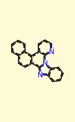 c1ccc2c(c1)ccc1c2c2cccnc2n2c3ccccc3nc12